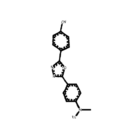 CCN(C)c1ccc(-c2nnc(-c3ccc(C#N)cc3)o2)cc1